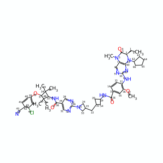 CC[C@@H]1C(=O)N(C)c2cnc(Nc3ccc(C(=O)NC4CC(CC5CN(c6ncc(C(=O)NC7C(C)(C)C(Oc8ccc(C#N)c(Cl)c8)C7(C)C)cn6)C5)C4)cc3OC)nc2N1C1CCCC1